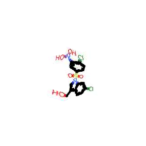 O=S(=O)(c1ccc(Cl)c(N(O)O)c1)n1cc(CO)c2ccc(Cl)cc21